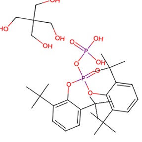 CC(C)(C)c1cccc(C(C)(C)C)c1OP(=O)(Oc1c(C(C)(C)C)cccc1C(C)(C)C)OP(=O)(O)O.OCC(CO)(CO)CO